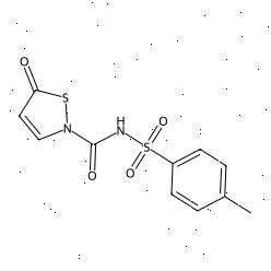 Cc1ccc(S(=O)(=O)NC(=O)n2ccc(=O)s2)cc1